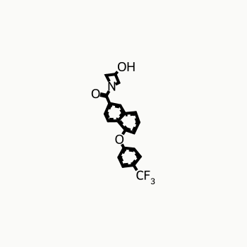 O=C(c1ccc2c(Oc3ccc(C(F)(F)F)cc3)cccc2c1)N1CC(O)C1